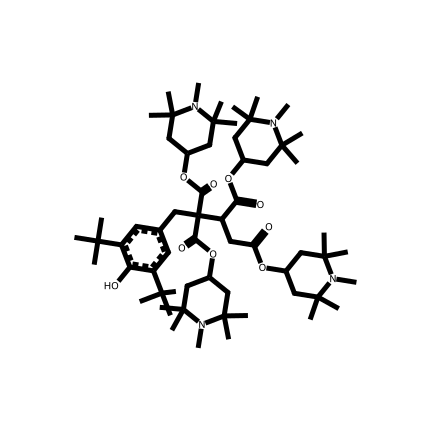 CN1C(C)(C)CC(OC(=O)CC(C(=O)OC2CC(C)(C)N(C)C(C)(C)C2)C(Cc2cc(C(C)(C)C)c(O)c(C(C)(C)C)c2)(C(=O)OC2CC(C)(C)N(C)C(C)(C)C2)C(=O)OC2CC(C)(C)N(C)C(C)(C)C2)CC1(C)C